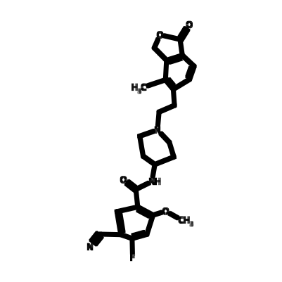 COc1cc(F)c(C#N)cc1C(=O)NC1CCN(CCc2ccc3c(c2C)COC3=O)CC1